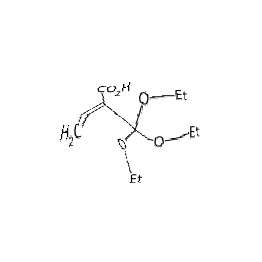 C=C(C(=O)O)C(OCC)(OCC)OCC